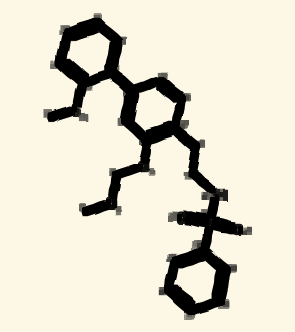 COCOc1cc(-c2ccccc2SC)ccc1CCNS(=O)(=O)c1ccccc1